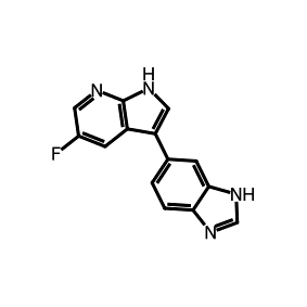 Fc1cnc2[nH]cc(-c3ccc4nc[nH]c4c3)c2c1